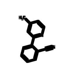 Cc1ccnc(-c2ccccc2C#N)c1